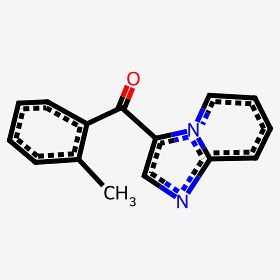 Cc1ccccc1C(=O)c1cnc2ccccn12